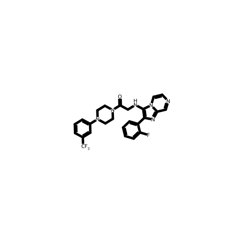 O=C(CNc1c(-c2ccccc2F)nc2cnccn12)N1CCN(c2cccc(C(F)(F)F)c2)CC1